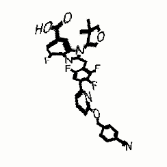 CC1(C)COCC1n1c(Cc2c(F)cc(-c3cccc(OCc4ccc(C#N)cc4)n3)c(F)c2F)nc2c(F)cc(C(=O)O)cc21